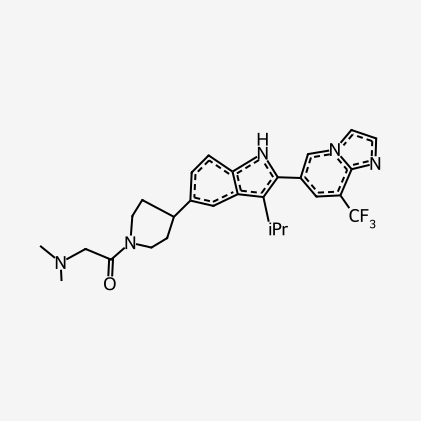 CC(C)c1c(-c2cc(C(F)(F)F)c3nccn3c2)[nH]c2ccc(C3CCN(C(=O)CN(C)C)CC3)cc12